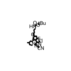 CC1CCN(c2nc(C#N)nc(Cl)c2-c2c(F)cc(OCCCNC(=O)OC(C)(C)C)cc2F)CC1